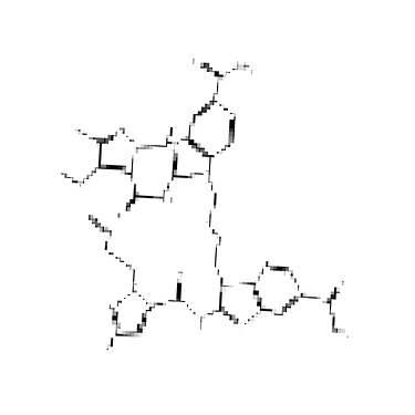 C=CCCn1nc(C)cc1C(=O)Nc1nc2cc(C(N)=O)ccc2n1CCCCn1c(NC(=O)c2c(CC)c(C)nn2CC)nc2cc(C(N)=O)ccc21